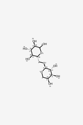 OC1O[C@H](CO[C@@H]2OC[C@H](O)[C@H](O)[C@H]2O)[C@@H](O)[C@H](O)[C@H]1O